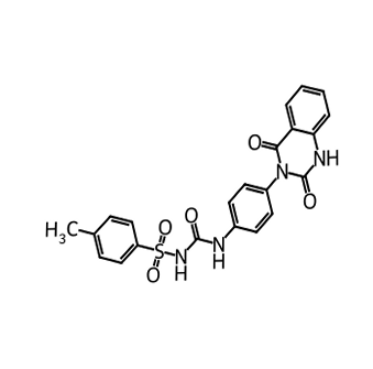 Cc1ccc(S(=O)(=O)NC(=O)Nc2ccc(-n3c(=O)[nH]c4ccccc4c3=O)cc2)cc1